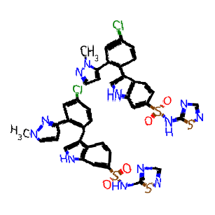 Cn1ccc(-c2cc(Cl)ccc2-c2c[nH]c3cc(S(=O)(=O)Nc4ncns4)ccc23)n1.Cn1nccc1-c1cc(Cl)ccc1-c1c[nH]c2cc(S(=O)(=O)Nc3ncns3)ccc12